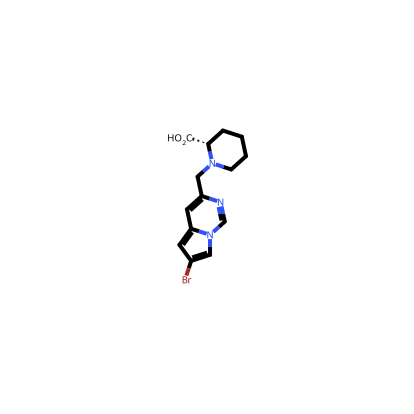 O=C(O)[C@@H]1CCCCN1Cc1cc2cc(Br)cn2cn1